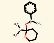 C[SiH](OC1([SiH](C)C)CCCCO1)c1ccccc1